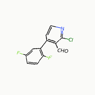 O=Cc1c(-c2cc(F)ccc2F)ccnc1Cl